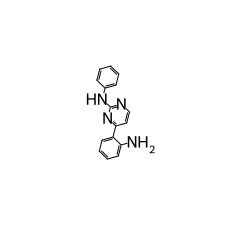 Nc1ccccc1-c1ccnc(Nc2ccccc2)n1